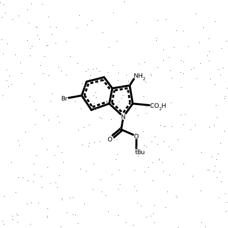 CC(C)(C)OC(=O)n1c(C(=O)O)c(N)c2ccc(Br)cc21